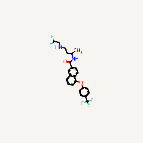 CC(CCNCC(F)F)NC(=O)c1ccc2c(Oc3ccc(C(F)(F)F)cc3)cccc2c1